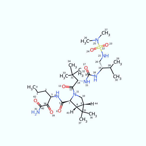 CCCC(NC(=O)[C@@H]1[C@@H]2[C@H](CN1C(=O)[C@@H](NC(=O)N[C@H](CNS(=O)(=O)N(C)C)C(C)C)C(C)(C)C)C2(C)C)C(=O)C(N)=O